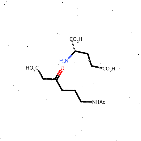 CC(=O)NCCCC(=O)CC(=O)O.N[C@@H](CCC(=O)O)C(=O)O